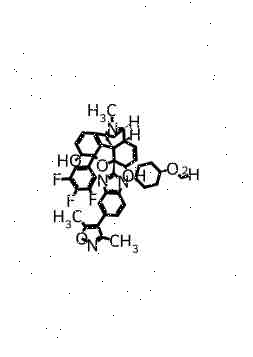 [2H]CO[C@H]1CC[C@H](n2c([C@]34OC5(c6cc(F)c(F)c(F)c6)C6=C(C=C[C@@H]5O)C[C@@H]5[C@H](C=C[C@@H]3O)[C@@]64CCN5C)nc3cc(-c4c(C)noc4C)ccc32)CC1